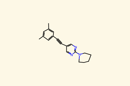 Cc1cc(C)cc(C#Cc2cnc(N3CCCCC3)nc2)c1